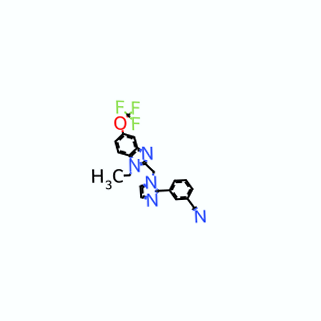 CCn1c(Cn2ccnc2-c2cccc(C#N)c2)nc2cc(OC(F)(F)F)ccc21